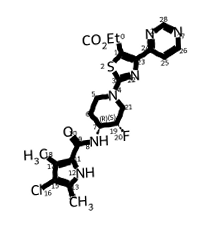 CCOC(=O)c1sc(N2CC[C@@H](NC(=O)c3[nH]c(C)c(Cl)c3C)[C@@H](F)C2)nc1-c1ccncn1